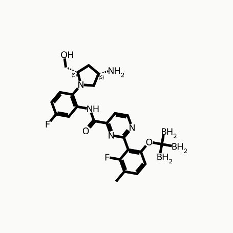 BC(B)(B)Oc1ccc(C)c(F)c1-c1nccc(C(=O)Nc2cc(F)ccc2N2C[C@@H](N)C[C@H]2CO)n1